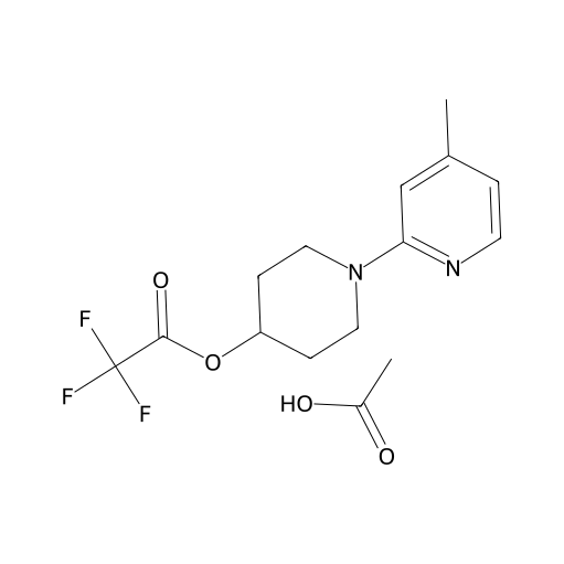 CC(=O)O.Cc1ccnc(N2CCC(OC(=O)C(F)(F)F)CC2)c1